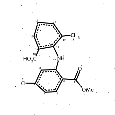 COC(=O)c1ccc(Cl)cc1Nc1c(C)cccc1C(=O)O